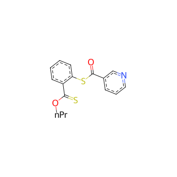 CCCOC(=S)c1ccccc1SC(=O)c1cccnc1